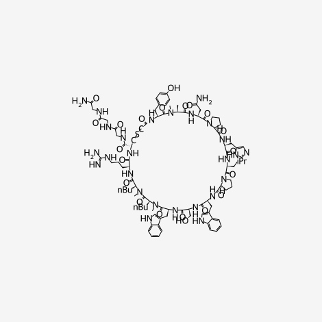 CCCC[C@H]1C(=O)N(C)[C@@H](CCCC)C(=O)N[C@@H](CCCNC(=N)N)C(=O)N[C@H](C(=O)NCC(=O)NCC(=O)NCC(N)=O)CSCC(=O)N[C@@H](Cc2ccc(O)cc2)C(=O)N(C)[C@@H](C)C(=O)N[C@@H](CC(N)=O)C(=O)N2CCC[C@H]2C(=O)N[C@@H](Cc2cnc[nH]2)C(=O)N[C@@H](CC(C)C)C(=O)N2CCC[C@H]2C(=O)N[C@@H](Cc2c[nH]c3ccccc23)C(=O)N[C@@H](CO)C(=O)N[C@@H](Cc2c[nH]c3ccccc23)C(=O)N1C